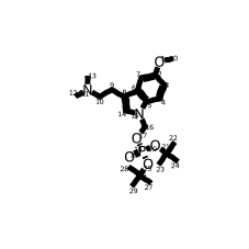 COc1ccc2c(c1)c(CCN(C)C)cn2COP(=O)(OC(C)(C)C)OC(C)(C)C